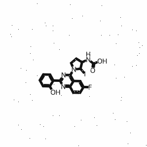 O=C(O)NC1CCN(c2nc(-c3ccccc3O)nc3ccc(F)cc23)C1I